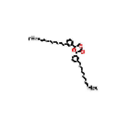 CCCCCCC=CCCCCCCCc1cccc(C(OC(c2cccc(CCCCCCCC=CCCCCCC)c2)C2CO2)C2CO2)c1